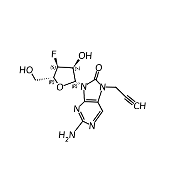 C#CCn1c(=O)n([C@@H]2O[C@H](CO)[C@@H](F)[C@H]2O)c2nc(N)ncc21